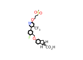 CS(=O)(=O)CCCOc1cc(C(F)(F)F)c(-c2ccc(F)c(COc3ccc4c(c3)C[C@H]3[C@H](C(=O)O)[C@@H]43)c2)cn1